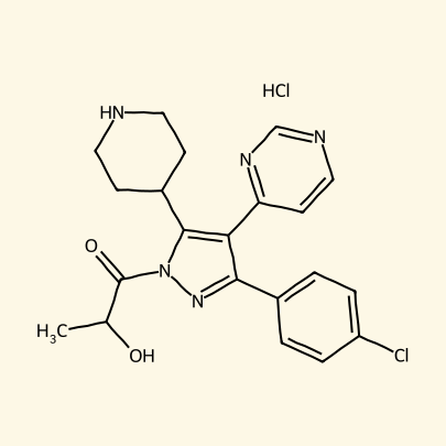 CC(O)C(=O)n1nc(-c2ccc(Cl)cc2)c(-c2ccncn2)c1C1CCNCC1.Cl